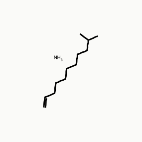 C=CCCCCCCCC(C)C.N